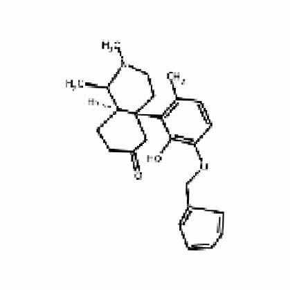 Cc1ccc(OCc2ccccc2)c(O)c1[C@]12CCN(C)[C@H](C)[C@@H]1CCC(=O)C2